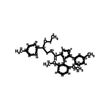 CCOC(CSNc1nnc(-c2cncc(C)c2)n1-c1c(OC)cccc1OC)c1ncc(C)cn1